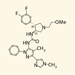 COCCN1C[C@@H](NC(=O)Nc2c(C)c(-c3cn(C)cn3)nn2-c2ccccc2)[C@H](c2ccc(F)c(F)c2)C1